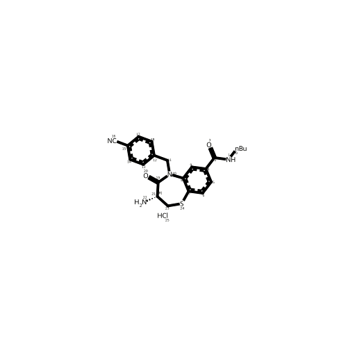 CCCCNC(=O)c1ccc2c(c1)N(Cc1ccc(C#N)cc1)C(=O)[C@@H](N)CS2.Cl